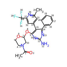 CC(=O)N1CCOC(Oc2nc(N)nc(-c3ccccc3)c2-c2cc(C)nc(C(F)(F)F)c2)C1